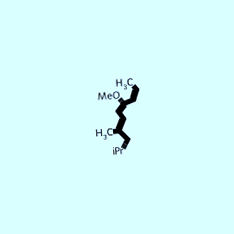 C\C=C/C(=C\C=C(/C)CC(C)C)OC